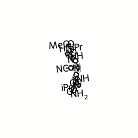 COC(=O)N[C@H](C(=O)N1CCC[C@H]1c1nc2cc([C@H]3CC[C@H](c4ccc5nc([C@@H]6CCCN6C(=O)[C@@H](OC(N)=O)C(C)C)[nH]c5c4)N3c3ccc(C#N)cc3)ccc2[nH]1)C(C)C